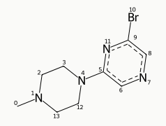 CN1CCN(c2cncc(Br)n2)CC1